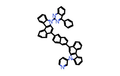 c1ccc(-c2nc(-n3c4ccccc4c4c5ccccc5c(-c5ccc6cc(-c7cc8c(c9ccccc79)c7ccccc7n8-c7cccnc7)ccc6c5)cc43)nc3ccccc23)cc1